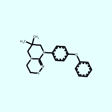 CC1(C)CN2CCSN=C2N(c2ccc(Oc3ccccc3)cc2)C1